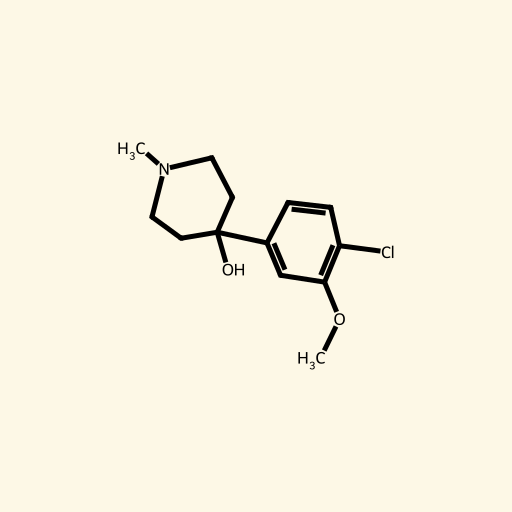 COc1cc(C2(O)CCN(C)CC2)ccc1Cl